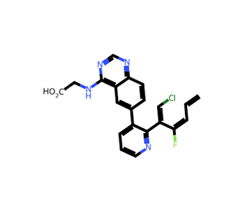 C=C/C=C(F)\C(=C/Cl)c1ncccc1-c1ccc2ncnc(NCC(=O)O)c2c1